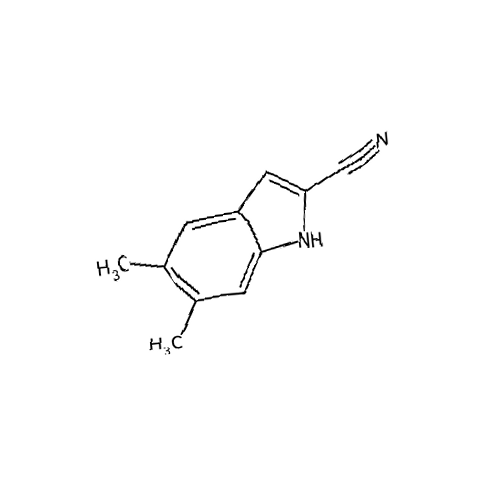 Cc1cc2cc(C#N)[nH]c2cc1C